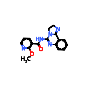 COc1ncccc1C(=O)NC1=Nc2ccccc2C2=NCCN12